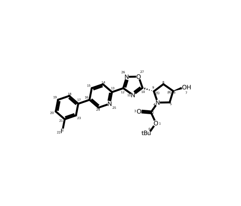 CC(C)(C)OC(=O)N1C[C@H](O)C[C@H]1c1nc(-c2ccc(-c3cccc(F)c3)cn2)no1